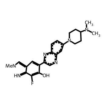 CN/C=C1/C=C(c2cnc3cc(N4CCC(N(C)C)CC4)ccc3n2)C(O)=C(F)C1=N